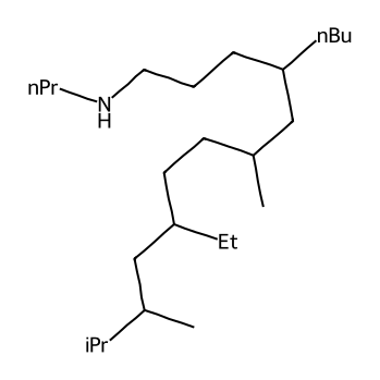 CCCCC(CCCNCCC)CC(C)CCC(CC)CC(C)C(C)C